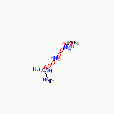 CC(C)NCCCCC(NC(=O)COCCOCCNC(=O)COCCOCCNC(=O)C(NC(=O)OC(C)(C)C)C(C)C)C(=O)O